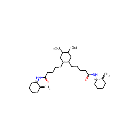 C=C1CCCC[C@@H]1NC(=O)CCCCC1CC(CCCCCCCC)C(CCCCCCCC)CC1CCCCC(=O)N[C@@H]1CCCCC1=C